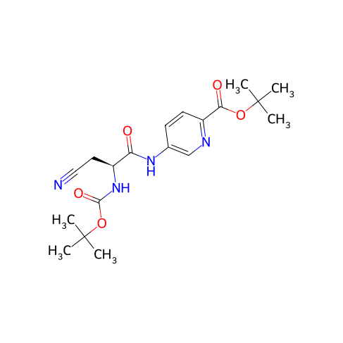 CC(C)(C)OC(=O)N[C@@H](CC#N)C(=O)Nc1ccc(C(=O)OC(C)(C)C)nc1